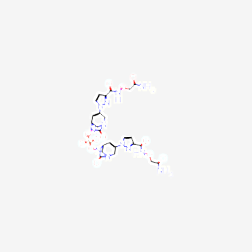 NC(=O)CONC(=O)c1ccn(C2=CC3CN(C2)C(=O)N3OS(=O)(=O)ON2C(=O)N3CC(n4ccc(C(=O)NOCC(N)=O)n4)=CC2C3)n1